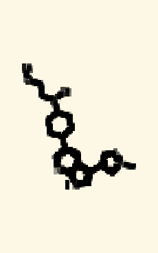 CCOCCN(CC)C1CCC(c2cnc3[nH]cc(-c4cnn(C)c4)c3c2)CC1